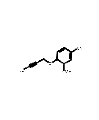 CC#CCOC1C=CC(C#N)=CC1OC